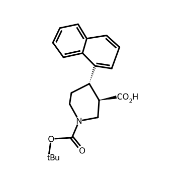 CC(C)(C)OC(=O)N1CC[C@H](c2cccc3ccccc23)[C@@H](C(=O)O)C1